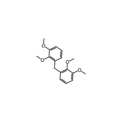 COc1cccc([CH]c2cccc(OC)c2OC)c1OC